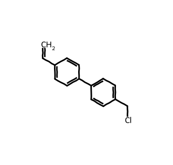 C=Cc1ccc(-c2ccc(CCl)cc2)cc1